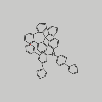 c1ccc(-c2ccc(N(c3cc(-c4ccccc4)cc(-c4ccccc4)c3)c3cccc(C4(c5ccccc5)c5ccccc5-c5ccccc5-c5ccccc54)c3)cc2)cc1